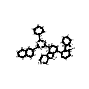 C1=Cc2c(oc3c(-c4cccc5sc6ccccc6c45)ccc(-c4nc(-c5ccccc5)nc(-c5ccc6ccccc6c5)n4)c23)CN1